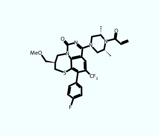 C=CC(=O)N1[C@H](C)CN(c2nc(=O)n3c4c(c(-c5ccc(F)cc5)c(C(F)(F)F)cc24)SC[C@@H](COC)C3)C[C@@H]1C